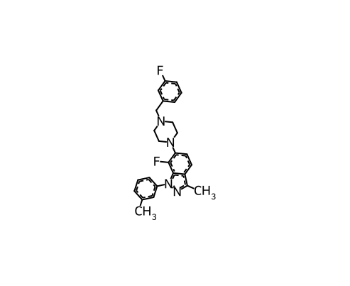 Cc1cccc(-n2nc(C)c3ccc(N4CCN(Cc5cccc(F)c5)CC4)c(F)c32)c1